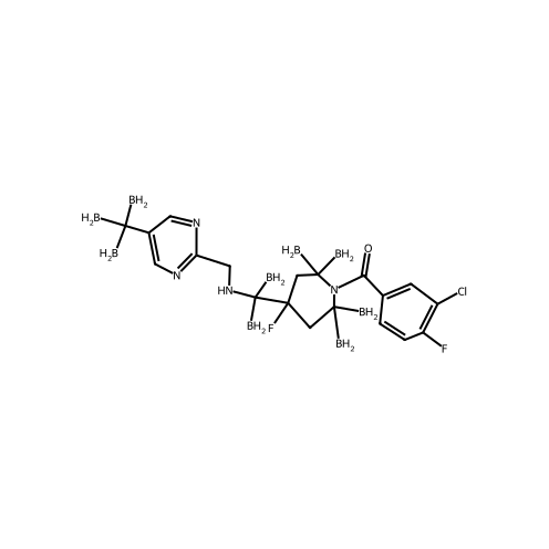 BC(B)(B)c1cnc(CNC(B)(B)C2(F)CC(B)(B)N(C(=O)c3ccc(F)c(Cl)c3)C(B)(B)C2)nc1